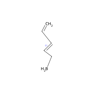 BC/C=C/C=C